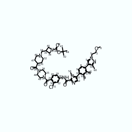 COCCn1cc(-c2ccc(-c3cnc(C(=O)Nc4ccc(C(=O)N5CCN(C(=O)C6CCN(CC7CN(C(=O)OC(C)(C)C)C7)CC6)CC5)c(Cl)c4)n3C)c(F)c2F)c(C)n1